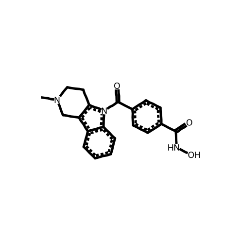 CN1CCc2c(c3ccccc3n2C(=O)c2ccc(C(=O)NO)cc2)C1